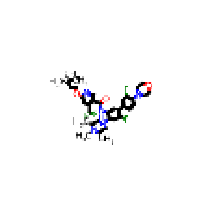 C[C@@H]1CN(c2cc(F)c(-c3ccc(N4CCOCC4)c(F)c3)cc2NC(=O)c2cnc(OCC[Si](C)(C)C)cc2C(F)F)C[C@H](C)N1C